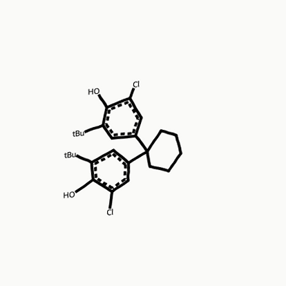 CC(C)(C)c1cc(C2(c3cc(Cl)c(O)c(C(C)(C)C)c3)CCCCC2)cc(Cl)c1O